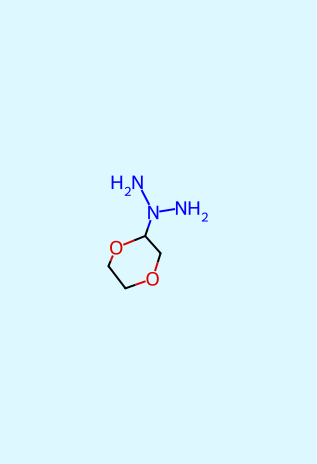 NN(N)C1COCCO1